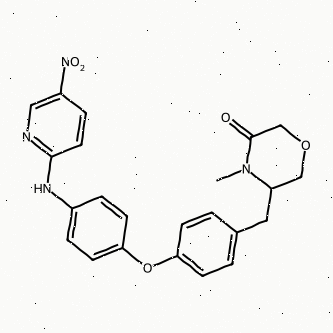 CN1C(=O)COCC1Cc1ccc(Oc2ccc(Nc3ccc([N+](=O)[O-])cn3)cc2)cc1